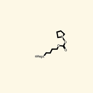 CCCCCCCCCCCOC(=O)ON1CCCC1